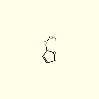 CON1C=C[C]O1